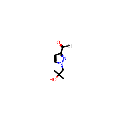 CCC(=O)c1ccn(CC(C)(C)O)n1